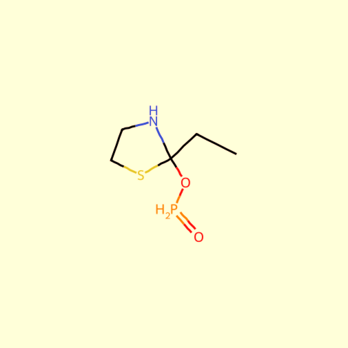 CCC1(O[PH2]=O)NCCS1